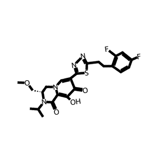 COC[C@@H]1Cn2cc(-c3nnc(CCc4ccc(F)cc4F)s3)c(=O)c(O)c2C(=O)N1C(C)C